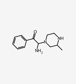 CC1CN(C(N)C(=O)c2ccccc2)CCN1